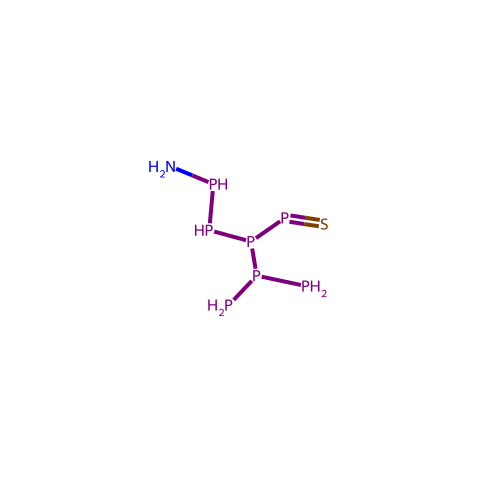 NPPP(P=S)P(P)P